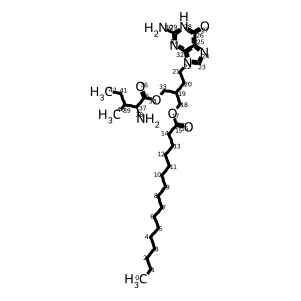 CCCCCCCCCCCCCCCC(=O)OCC(CCn1cnc2c(=O)[nH]c(N)nc21)COC(=O)[C@@H](N)C(C)CC